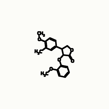 COc1ccc(C2COC(=O)C2Oc2ccccc2OC)cc1C